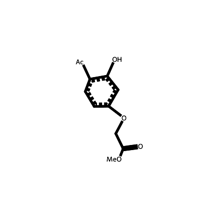 COC(=O)COc1ccc(C(C)=O)c(O)c1